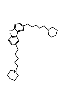 c1cc2oc3ccc(CCCCCN4CCCCC4)cc3c2cc1CCCCCN1CCCCC1